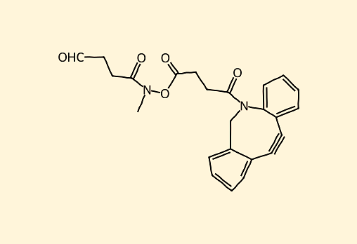 CN(OC(=O)CCC(=O)N1Cc2ccccc2C#Cc2ccccc21)C(=O)CCC=O